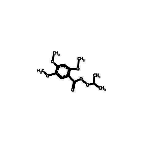 COc1cc(OC)c(C(=O)OO[C](C)C)cc1OC